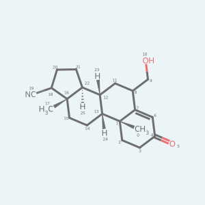 C[C@]12CCC(=O)C=C1C(CO)C[C@@H]1[C@H]2CC[C@]2(C)C(C#N)CC[C@@H]12